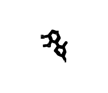 COc1c(Br)cncc1-c1ccc(I)cc1C